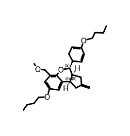 C=C1C[C@H]2[C@@H](C1)c1cc(OCCCC)cc(COC)c1O[C@H]2C1C=CC(OCCCC)=CC1